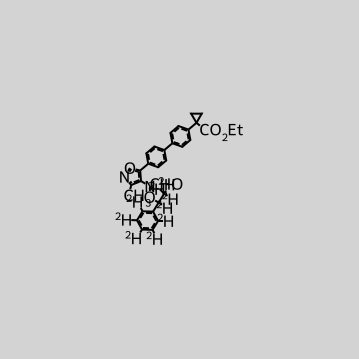 [2H]c1c([2H])c([2H])c(C([2H])(ON(C=O)c2c(C)noc2-c2ccc(-c3ccc(C4(C(=O)OCC)CC4)cc3)cc2)C([2H])([2H])[2H])c([2H])c1[2H]